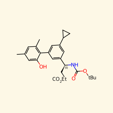 CCOC(=O)C[C@H](NC(=O)OC(C)(C)C)c1cc(-c2c(C)cc(C)cc2O)cc(C2CC2)c1